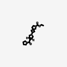 CCOC(=O)N1CCC2(CC(N3C[C@@H]4C(C(=O)N5CCCC5)[C@@H]4C3)C2)C1